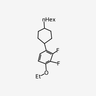 CCCCCCC1CCC(c2ccc(OCC)c(F)c2F)CC1